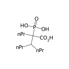 CCCC(CCC)C(CCC)(C(=O)O)P(=O)(O)O